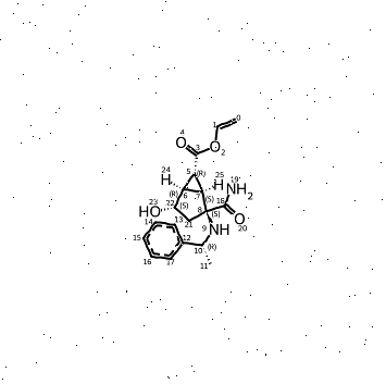 C=COC(=O)[C@H]1[C@H]2[C@@H]1[C@](N[C@H](C)c1ccccc1)(C(N)=O)C[C@@H]2O